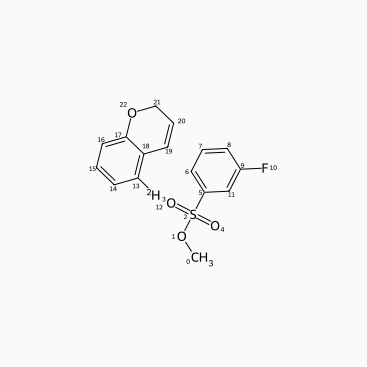 COS(=O)(=O)c1cccc(F)c1.[2H]c1cccc2c1C=CCO2